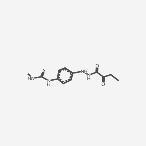 CCC(=O)C(=O)NNc1ccc(NC(=S)NC)cc1